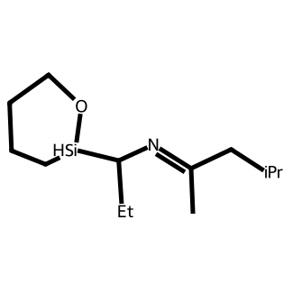 CCC(/N=C(\C)CC(C)C)[SiH]1CCCCO1